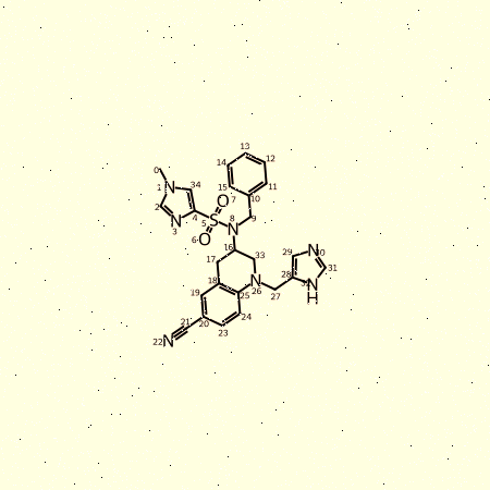 Cn1cnc(S(=O)(=O)N(Cc2ccccc2)C2Cc3cc(C#N)ccc3N(Cc3cnc[nH]3)C2)c1